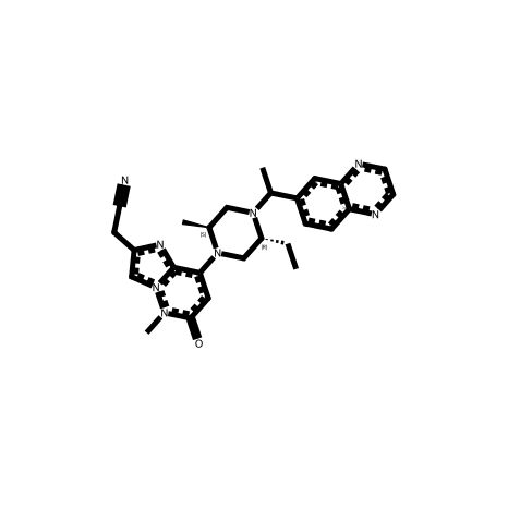 CC[C@@H]1CN(c2cc(=O)n(C)n3cc(CC#N)nc23)[C@@H](C)CN1C(C)c1ccc2nccnc2c1